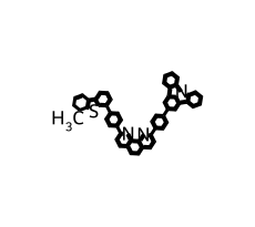 CC1CC=Cc2c1sc1c(-c3ccc(-c4ccc5ccc6ccc(-c7ccc(-c8cc9c%10ccccc%10n%10c%11ccccc%11c(c8)c9%10)cc7)nc6c5n4)cc3)cccc21